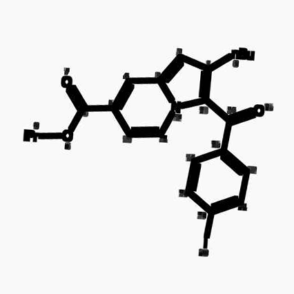 CCCCc1cc2cc(C(=O)OC(C)C)ccn2c1C(=O)c1ccc(I)cc1